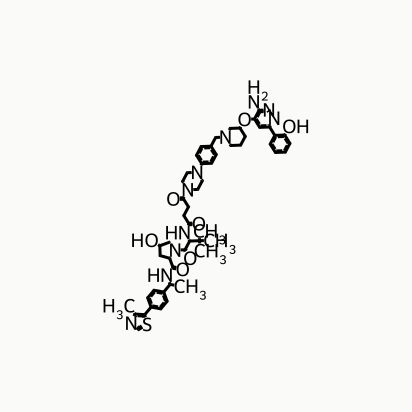 Cc1ncsc1-c1ccc(C(C)NC(=O)C2CC(O)CN2C(=O)C(NC(=O)CCC(=O)N2CCN(c3ccc(CN4CCCC(Oc5cc(-c6ccccc6O)nnc5N)C4)cc3)CC2)C(C)(C)C)cc1